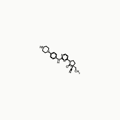 CC[C@]1(C#N)CCN(c2ccnc(Nc3ccc(N4CCNCC4)cc3)n2)C1=O